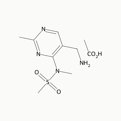 CC(=O)O.Cc1ncc(CN)c(N(C)S(C)(=O)=O)n1